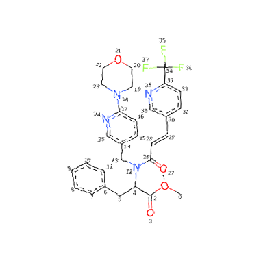 COC(=O)C(Cc1ccccc1)N(Cc1ccc(N2CCOCC2)nc1)C(=O)C=Cc1ccc(C(F)(F)F)nc1